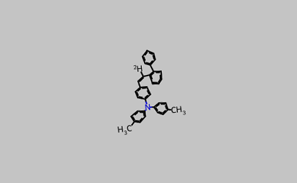 [2H]C(=Cc1ccc(N(c2ccc(C)cc2)c2ccc(C)cc2)cc1)c1ccccc1-c1ccccc1